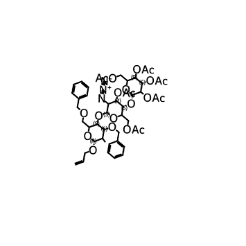 C=CCO[C@@H]1OC(COCc2ccccc2)[C@@H](O[C@@H]2OC(COC(C)=O)[C@@H](O[C@@H]3OC(COC(C)=O)[C@@H](OC(C)=O)[C@H](OC(C)=O)C3OC(C)=O)[C@H](OC(C)=O)C2N=[N+]=[N-])[C@@H](OCc2ccccc2)C1C